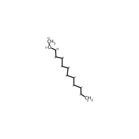 [CH2]CCCCCCCCCCOC